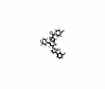 Cc1cccc(C2C=CN(c3cc(N4CCOCC4)n4nc(C(=O)N5CCN(C)CC5)cc4n3)N2)c1